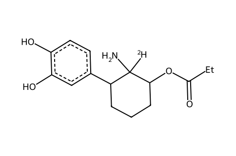 [2H]C1(N)C(OC(=O)CC)CCCC1c1ccc(O)c(O)c1